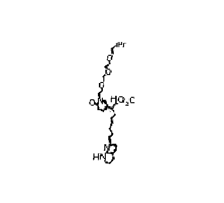 CC(C)CCOCCOCCOCCn1cc([C@H](CCCCCCc2ccc3c(n2)NCCC3)CC(=O)O)ccc1=O